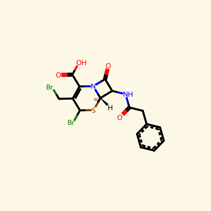 O=C(Cc1ccccc1)NC1C(=O)N2C(C(=O)O)=C(CBr)C(Br)S[C@@H]12